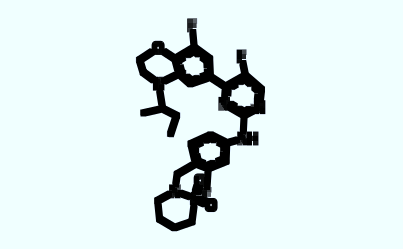 CCC(C)N1CCOc2c(F)cc(-c3nc(Nc4ccc(CN5CCCCS5(=O)=O)c(F)c4)ncc3F)cc21